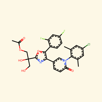 CC(=O)OCC(O)(CO)c1nc(-c2ccc(=O)n(-c3c(C)cc(Cl)cc3C)c2)c(-c2ccc(F)cc2F)o1